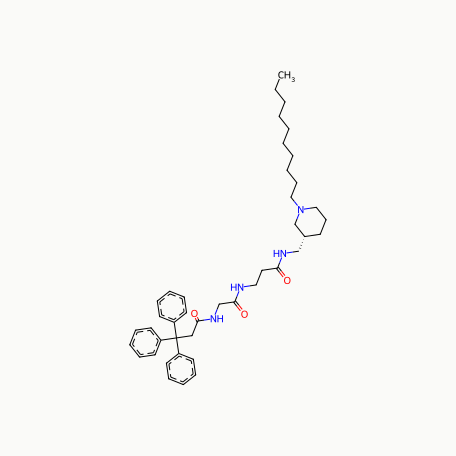 CCCCCCCCCCN1CCC[C@H](CNC(=O)CCNC(=O)CNC(=O)CC(c2ccccc2)(c2ccccc2)c2ccccc2)C1